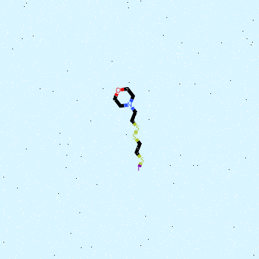 ISCCSSCCN1CCOCC1